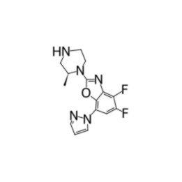 C[C@H]1CNCCN1c1nc2c(F)c(F)cc(-n3cccn3)c2o1